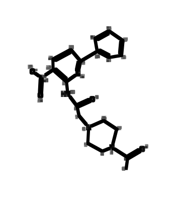 CC(=O)N1CCN(CC(=O)Nc2nc(-c3ccccc3)ccc2[N+](=O)[O-])CC1